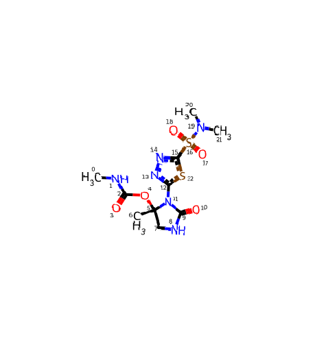 CNC(=O)OC1(C)CNC(=O)N1c1nnc(S(=O)(=O)N(C)C)s1